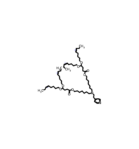 CC/C=C\CCCCOC(CCC(=O)OCCCCCCCN(CCCCCCCOC(=O)CCC(OCCCC/C=C\CC)OCCCC/C=C\CC)CCc1ccncc1)OCCCC/C=C\CC